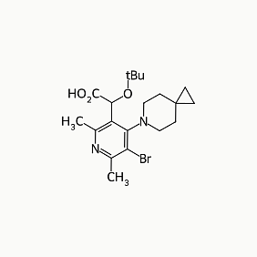 Cc1nc(C)c(C(OC(C)(C)C)C(=O)O)c(N2CCC3(CC2)CC3)c1Br